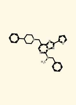 CN(Cc1ccccc1)c1ncc(CN2CCC(c3ccccc3)CC2)c2nc(-c3ccco3)nn12